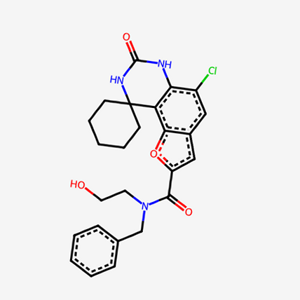 O=C1Nc2c(Cl)cc3cc(C(=O)N(CCO)Cc4ccccc4)oc3c2C2(CCCCC2)N1